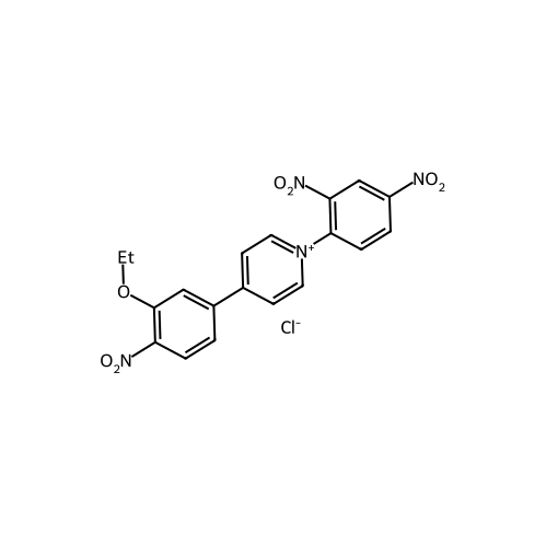 CCOc1cc(-c2cc[n+](-c3ccc([N+](=O)[O-])cc3[N+](=O)[O-])cc2)ccc1[N+](=O)[O-].[Cl-]